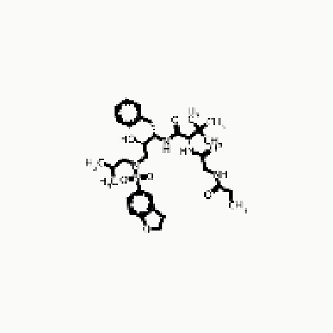 CCC(=O)NCC(=O)N[C@H](C(=O)N[C@@H](Cc1ccccc1)[C@H](O)CN(CC(C)C)S(=O)(=O)c1ccc2c(c1)CCO2)C(C)(C)C